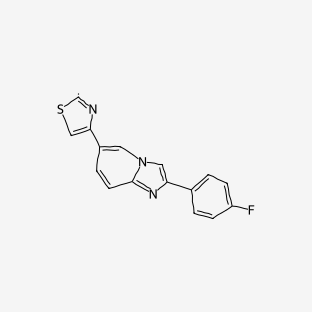 Fc1ccc(-c2cn3cc(-c4cs[c]n4)ccc3n2)cc1